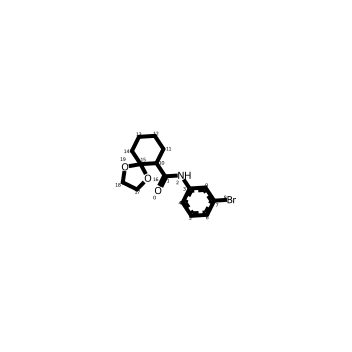 O=C(Nc1cccc(Br)c1)C1CCCCC12OCCO2